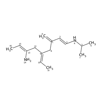 C=C(/C=C/NC(C)C)C/C(=C\C)C/C(N)=C/C